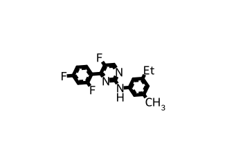 [CH2]Cc1cc(C)cc(Nc2ncc(F)c(-c3ccc(F)cc3F)n2)c1